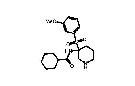 COc1cccc(S(=O)(=O)[C@]2(NC(=O)C3CCCCC3)CCCNC2)c1